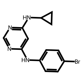 Brc1ccc(Nc2cc(NC3CC3)ncn2)cc1